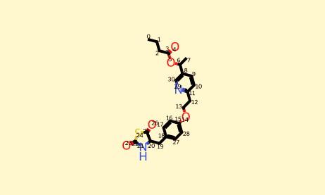 CCCC(=O)OC(C)c1ccc(CCOc2ccc(CC3NC(=O)SC3=O)cc2)nc1